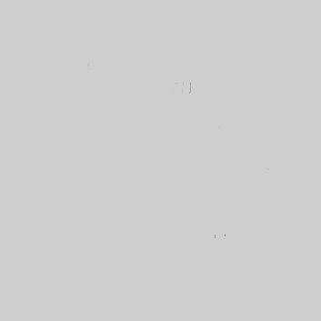 CC1(C2=CCCCC2)CCC2OC2C1